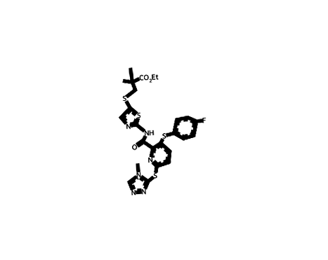 CCOC(=O)C(C)(C)CSc1cnc(NC(=O)c2nc(Sc3nncn3C)ccc2Sc2ccc(F)cc2)s1